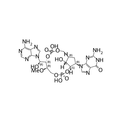 CO[C@@H]1COP(=O)(O)O[C@@H]2[C@H](O)[C@@H](COP(=O)(O)O[C@H]1[C@@H](O)n1cnc3c(N)ncnc31)C[C@H]2n1cnc2c(=O)[nH]c(N)nc21